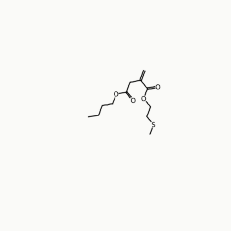 C=C(CC(=O)OCCCC)C(=O)OCCSC